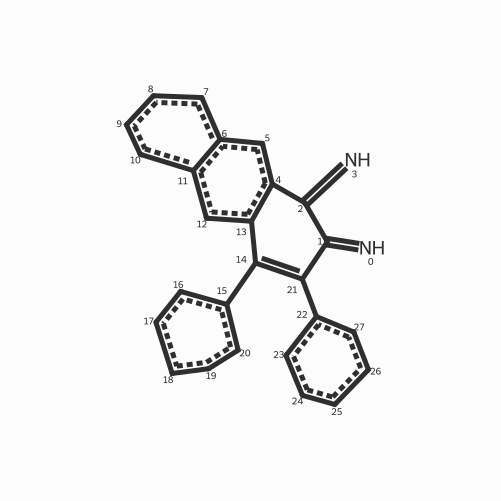 N=C1C(=N)c2cc3ccccc3cc2C(c2ccccc2)=C1c1ccccc1